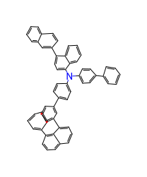 c1ccc(-c2ccc(N(c3ccc(-c4cccc(-c5cccc6cccc(-c7ccccc7)c56)c4)cc3)c3ccc(-c4ccc5ccccc5c4)c4ccccc34)cc2)cc1